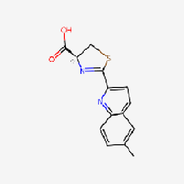 Cc1ccc2nc(C3=N[C@@H](C(=O)O)CS3)ccc2c1